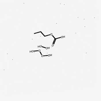 CCCOC(=O)O.OO.OOOO